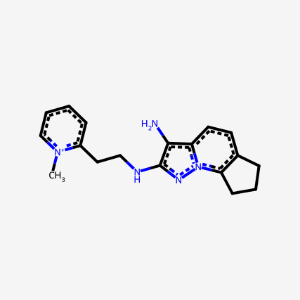 C[n+]1ccccc1CCNc1nn2c3c(ccc2c1N)CCC3